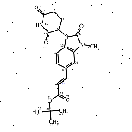 Cn1c(=O)n(C2CCC(=O)NC2=O)c2ccc(/C=C/C(=O)OC(C)(C)C)cc21